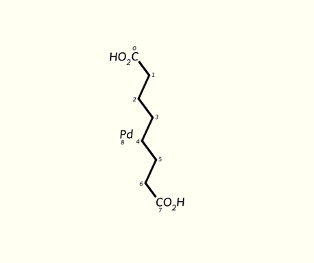 O=C(O)CCCCCCC(=O)O.[Pd]